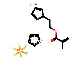 C=C(C)C(=O)OCCC1C=CC=C1.F[P-](F)(F)(F)(F)F.[Co+2].c1cc[cH-]c1